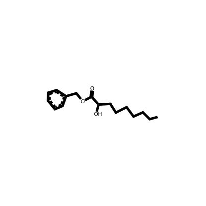 CCCCCCCC(O)C(=O)OCc1ccccc1